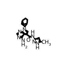 Cc1cc(NC(=O)c2cn(C3CC4CCC3C4)c3ncnc(N)c23)n[nH]1